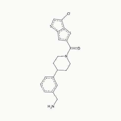 NCc1cccc(C2CCN(C(=O)c3cc4scc(Cl)c4s3)CC2)c1